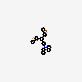 c1ccc2cc(N(c3ccc(-c4cc(-c5ccc6sc7ccccc7c6c5)cc(-c5ccc6sc7ccccc7c6c5)c4)cc3)c3cccc4ccccc34)ccc2c1